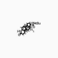 CC(C)(C)NC(=O)[C@H]1CC[C@H]2[C@@H]3CCC4NC(=O)CC[C@]4(C)[C@H]3CC[C@]12C